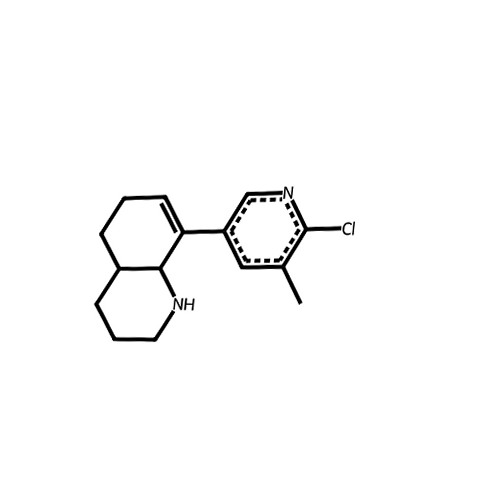 Cc1cc(C2=CCCC3CCCNC23)cnc1Cl